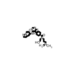 CN(C)CCCN(CCO)C(=O)[C@H]1CCc2c(sc3ncnc(Nc4cc5ccnn5cc4Cl)c23)C1